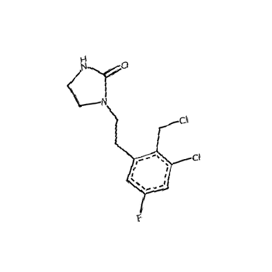 O=C1NCCN1CCc1cc(F)cc(Cl)c1CCl